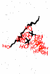 CCCCCCCCCCCCCCCCCCO.OCC(CO)(CO)COCC(CO)(CO)CO.OP(O)O.OP(O)O.OP(O)O